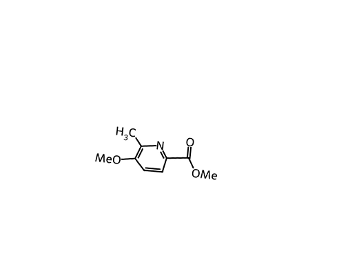 COC(=O)c1ccc(OC)c(C)n1